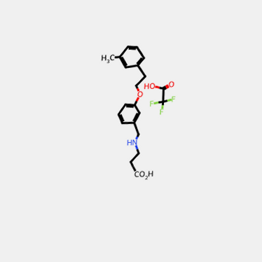 Cc1cccc(CCOc2cccc(CNCCC(=O)O)c2)c1.O=C(O)C(F)(F)F